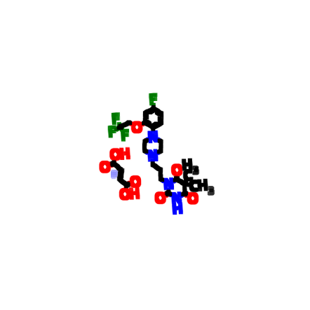 CC1(C)C(=O)NC(=O)N(CCCN2CCN(c3ccc(F)cc3OCC(F)(F)F)CC2)C1=O.O=C(O)/C=C/C(=O)O